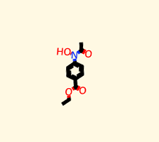 CCOC(=O)c1ccc(N(O)C(C)=O)cc1